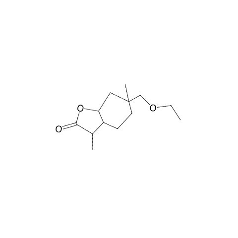 CCOCC1(C)CCC2C(C1)OC(=O)C2C